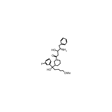 COCCCCC(O)(c1cccc(F)c1)C1CCCN(C(=O)CC(O)C(N)Cc2ccccc2)C1